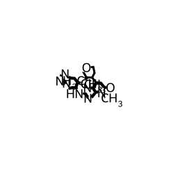 Cc1cc2ncnn2cc1Nc1ncc2c(n1)c(C1CCOCC1(C)C)cc(=O)n2C